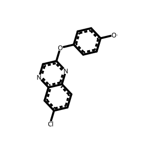 [O]c1ccc(Oc2cnc3cc(Cl)ccc3n2)cc1